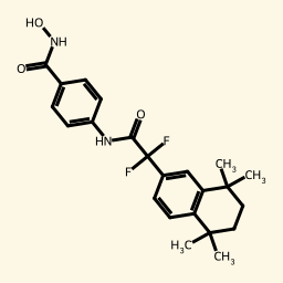 CC1(C)CCC(C)(C)c2cc(C(F)(F)C(=O)Nc3ccc(C(=O)NO)cc3)ccc21